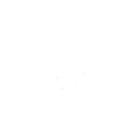 FC(F)C(F)c1cc(C(F)(F)F)ccc1Br